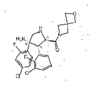 N[C@]1(c2ccc(Cl)cc2F)CN[C@@H](C(=O)N2CC3(COC3)C2)[C@@H]1c1cccc(Cl)c1F